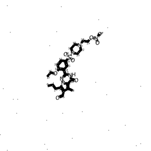 CCCc1c(C=O)c(C)c2c(=O)[nH]c(-c3cc(S(=O)(=O)N4CCN(CCO[N+](=O)[O-])CC4)ccc3OCC)nn12